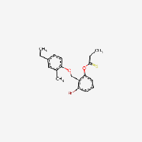 CCC(=S)Oc1cccc(Br)c1COc1ccc(CC)cc1C